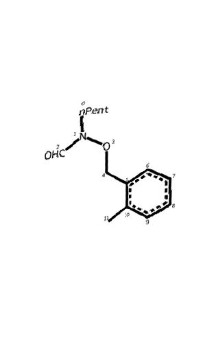 CCCCCN(C=O)OCc1ccccc1C